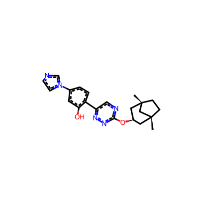 C[C@]12CC[C@](C)(C[C@@H](Oc3ncc(-c4ccc(-n5ccnc5)cc4O)nn3)C1)C2